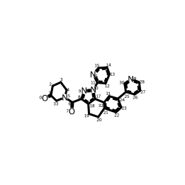 O=C1CCCN(C(=O)c2nn(-c3ccccn3)c3c2CCc2ccc(-c4cccnc4)cc2-3)C1